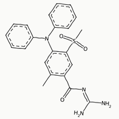 Cc1cc(N(c2ccccc2)c2ccccc2)c(S(C)(=O)=O)cc1C(=O)N=C(N)N